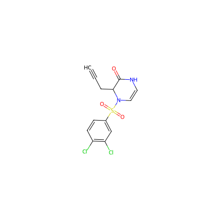 C#CCC1C(=O)NC=CN1S(=O)(=O)c1ccc(Cl)c(Cl)c1